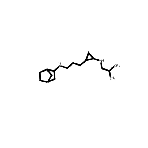 CC(C)CNC1CC1CCCNC1CC2CCC1C2